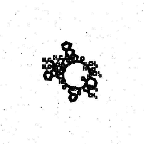 C=CC(C)(C)n1cc(C[C@@H]2NC(=O)[C@H](Cc3ccccc3)NC(=O)[C@H](CC(C)C)N3CC/C=C\C[C@@H](C3=O)N(C)C(=O)[C@H](C)NC(=O)[C@H](Cc3cc4ccccc4cn3)NC(=O)[C@H](CC(C)C)N(C)C2=O)c2ccccc21